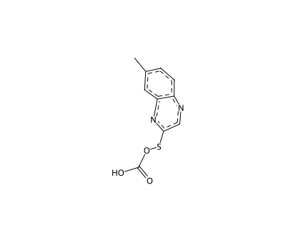 Cc1ccc2ncc(SOC(=O)O)nc2c1